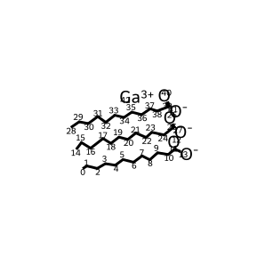 CCCCCCCCCCCC(=O)[O-].CCCCCCCCCCCC(=O)[O-].CCCCCCCCCCCC(=O)[O-].[Ga+3]